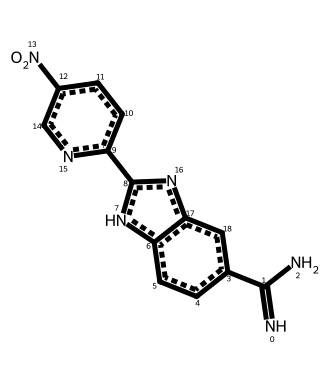 N=C(N)c1ccc2[nH]c(-c3ccc([N+](=O)[O-])cn3)nc2c1